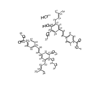 COC(=O)c1ccc(C=Cc2cc(CC=C(C)C)c(O)c(OC)c2)cc1.COCOc1c(CC=C(C)C)cc(C=Cc2ccc(C(=O)OC)cc2)cc1OC.Cl